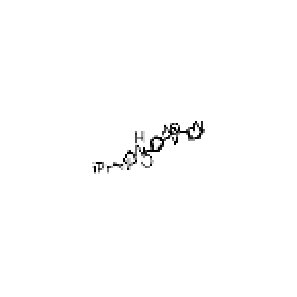 CC(C)CCN1CCC(NC(=O)c2ccc(-c3noc(-c4cccnc4)n3)cc2)CC1